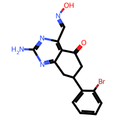 Nc1nc(C=NO)c2c(n1)CC(c1ccccc1Br)CC2=O